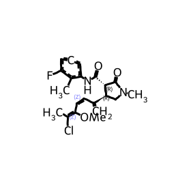 C=C(/C=C\C(OC)=C(/C)Cl)[C@@H]1CN(C)C(=O)[C@H]1C(=O)Nc1cccc(F)c1C